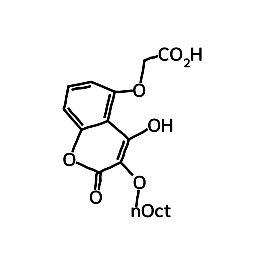 CCCCCCCCOc1c(O)c2c(OCC(=O)O)cccc2oc1=O